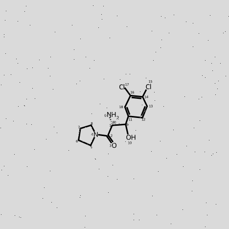 N[C@@H](C(=O)N1CCCC1)C(O)c1ccc(Cl)c(Cl)c1